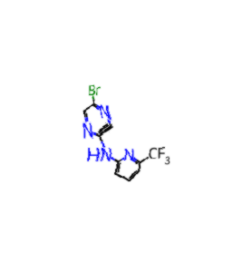 FC(F)(F)c1cccc(Nc2cnc(Br)cn2)n1